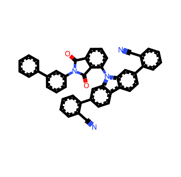 N#Cc1ccccc1-c1ccc2c3ccc(-c4ccccc4C#N)cc3n(-c3cccc4c3C(=O)N(c3cccc(-c5ccccc5)c3)C4=O)c2c1